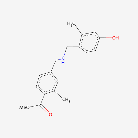 COC(=O)c1ccc(CNCc2ccc(O)cc2C)cc1C